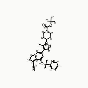 Cc1c(-c2cc(OC(C)(C)c3ccccn3)c3c(C#N)cnn3c2)cnn1C1CCN(C(=O)OC(C)(C)C)CC1